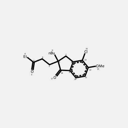 CCCCC1(CCC(=O)CC)Cc2c(ccc(OC)c2Cl)C1=O